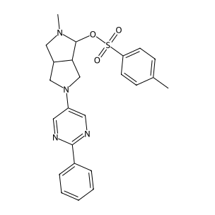 Cc1ccc(S(=O)(=O)OC2C3CN(c4cnc(-c5ccccc5)nc4)CC3CN2C)cc1